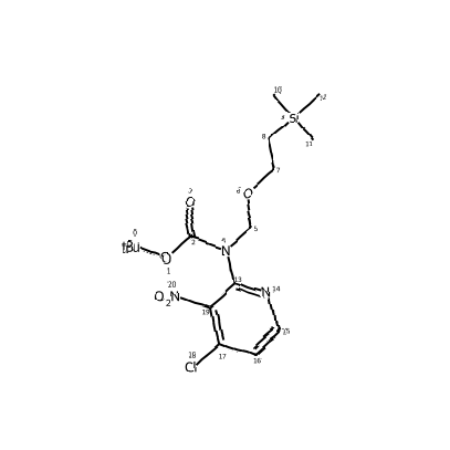 CC(C)(C)OC(=O)N(COCC[Si](C)(C)C)c1nccc(Cl)c1[N+](=O)[O-]